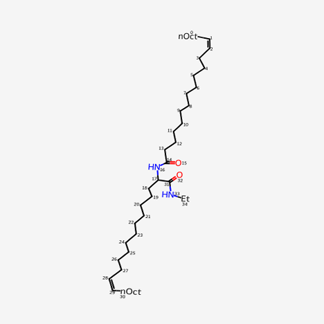 CCCCCCCC/C=C\CCCCCCCCCCCC(=O)NC(CCCCCCCCCC/C=C\CCCCCCCC)C(=O)NCC